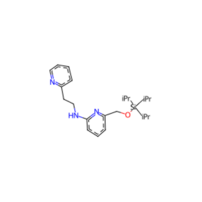 CC(C)[Si](OCc1cccc(NCCc2ccccn2)n1)(C(C)C)C(C)C